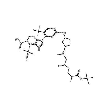 CN(CCC(F)CN(C)C1CC[C@H](Nc2ncc(C(F)(F)F)c(-c3c[nH]c4c(P(C)(C)=O)c(C(=O)O)ccc34)n2)C1)C(=O)OC(C)(C)C